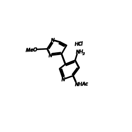 COc1nccc(-c2cnc(NC(C)=O)cc2N)n1.Cl